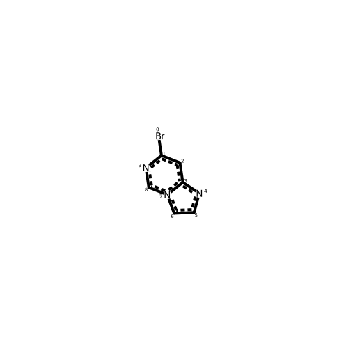 Brc1cc2nccn2cn1